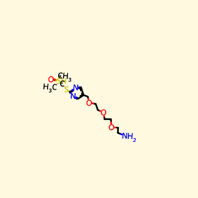 C[SH](C)(=O)CSc1ncc(COCCOCCOCCN)cn1